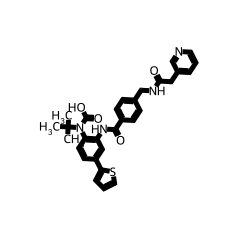 CC(C)(C)N(C(=O)O)c1ccc(-c2cccs2)cc1NC(=O)c1ccc(CNC(=O)Cc2cccnc2)cc1